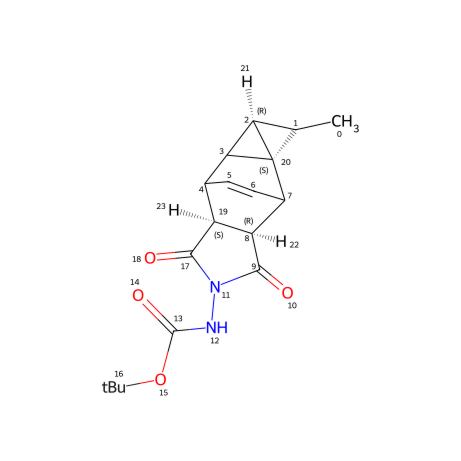 CC1[C@@H]2C3C4C=CC([C@H]5C(=O)N(NC(=O)OC(C)(C)C)C(=O)[C@@H]45)[C@@]132